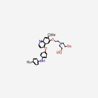 COc1cc2nccc(Oc3ccc(Nc4ccc(C(C)(C)C)cc4)cc3)c2cc1OCCN(CCO)CCO